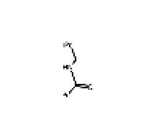 CCCCNC(=O)C(C)C